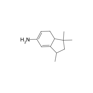 CC1CC(C)(C)C2CC=C(N)C=C12